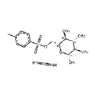 CC(=O)O[C@@H]1[C@@H](OC(C)=O)[C@H](O)O[C@H](COS(=O)(=O)c2ccc(C)cc2)[C@H]1OC(C)=O.N=[N+]=N